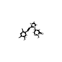 Cc1cc(C)c(C#Cc2nccn2-c2cnn(C)c(=O)c2)cc1C